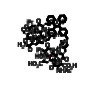 CC(=O)N[C@@H](CC(=O)O)C(=O)N[C@@H](CCC(=O)O)C(=O)N[C@H](C(=O)N[C@@H](CC(=O)O)C(=O)N[C@@H](Cc1cn(Cc2ccc(/C(=C(/c3ccccc3)c3ccc(Cn4cc(C[C@@H](NC(=O)[C@@H](CC(=O)O)NC(=O)C(NC(=O)[C@@H](CCC(=O)O)NC(=O)[C@@H](CC(=O)O)NC(C)=O)C(C)C)C(N)=O)nn4)cc3)c3ccccc3)cc2)nn1)C(N)=O)C(C)C